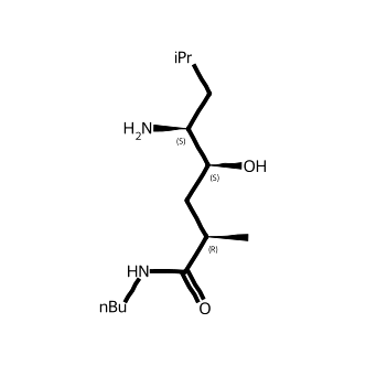 CCCCNC(=O)[C@H](C)C[C@H](O)[C@@H](N)CC(C)C